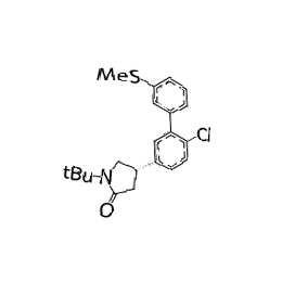 CSc1cccc(-c2cc([C@@H]3CC(=O)N(C(C)(C)C)C3)ccc2Cl)c1